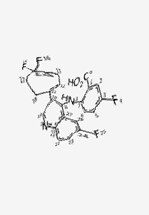 O=C(O)c1cc(F)ccc1Nc1c(C2=CCC(F)(F)CC2)cnc2ccc(F)cc12